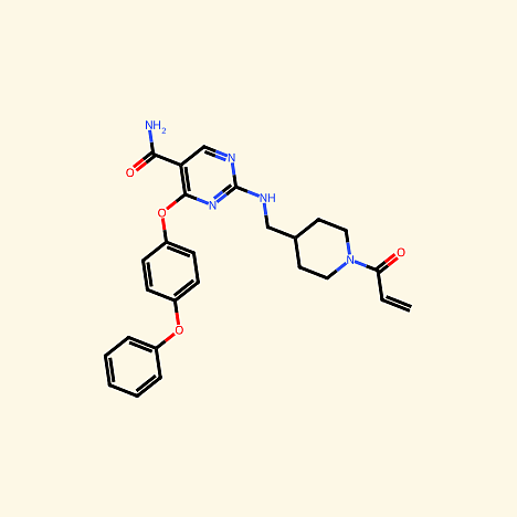 C=CC(=O)N1CCC(CNc2ncc(C(N)=O)c(Oc3ccc(Oc4ccccc4)cc3)n2)CC1